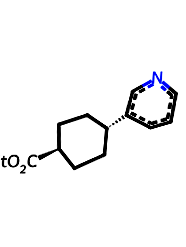 CCOC(=O)[C@H]1CC[C@H](c2cccnc2)CC1